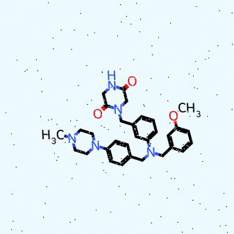 COc1cccc(CN(Cc2ccc(N3CCN(C)CC3)cc2)c2cccc(CN3CC(=O)NCC3=O)c2)c1